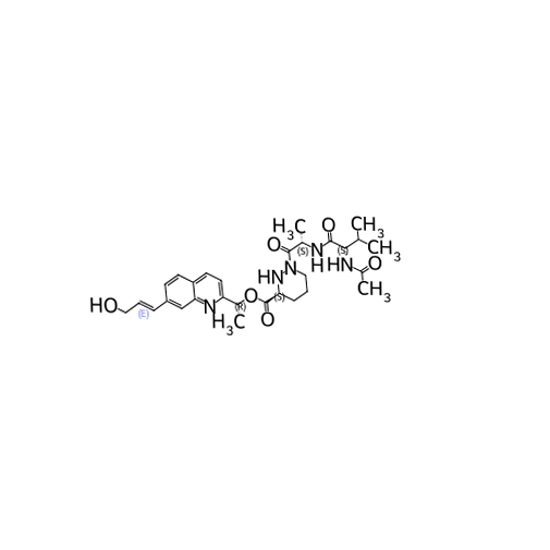 CC(=O)N[C@H](C(=O)N[C@@H](C)C(=O)N1CCC[C@@H](C(=O)O[C@H](C)c2ccc3ccc(/C=C/CO)cc3n2)N1)C(C)C